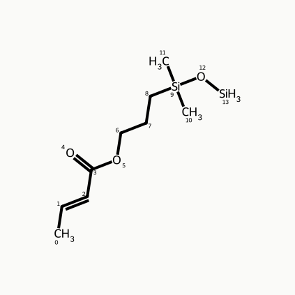 CC=CC(=O)OCCC[Si](C)(C)O[SiH3]